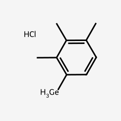 Cc1cc[c]([GeH3])c(C)c1C.Cl